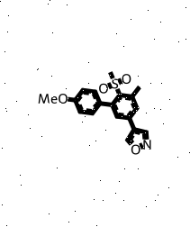 COc1ccc(-c2cc(-c3cnoc3)cc(C)c2S(C)(=O)=O)cc1